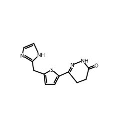 O=C1CCC(c2ccc(Cc3ncc[nH]3)s2)=NN1